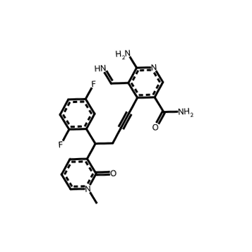 Cn1cccc(C(CC#Cc2c(C(N)=O)cnc(N)c2C=N)c2cc(F)ccc2F)c1=O